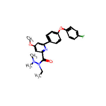 CCN(C(=O)c1cc(OC)cc(-c2ccc(Oc3ccc(F)cc3)cc2)n1)N(C)C